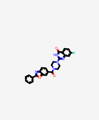 O=C(c1ccc2nc(-c3ccccc3)oc2c1)N1CCN(c2nc3cc(F)ccc3c(=O)[nH]2)CC1